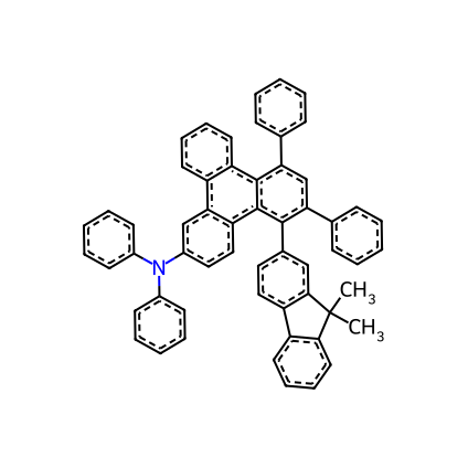 CC1(C)c2ccccc2-c2ccc(-c3c(-c4ccccc4)cc(-c4ccccc4)c4c5ccccc5c5cc(N(c6ccccc6)c6ccccc6)ccc5c34)cc21